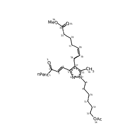 CCCCCC(=O)/C=C/c1nn(CCCCCCOC(C)=O)c(C)c1C/C=C\CCCC(=O)OC